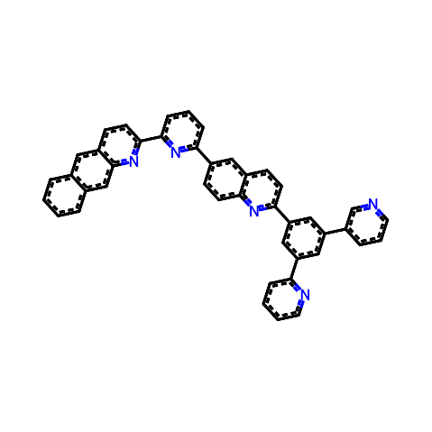 c1ccc(-c2cc(-c3cccnc3)cc(-c3ccc4cc(-c5cccc(-c6ccc7cc8ccccc8cc7n6)n5)ccc4n3)c2)nc1